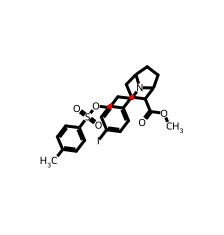 COC(=O)C1C(c2ccc(I)cc2)CC2CCC1N2CCCOS(=O)(=O)c1ccc(C)cc1